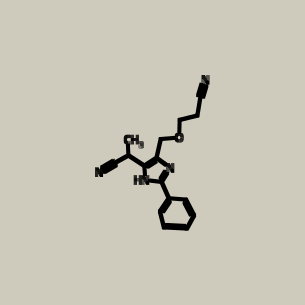 CC(C#N)c1[nH]c(-c2ccccc2)nc1COCCC#N